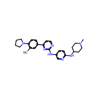 CN1CCC(Nc2ccc(Nc3nccc(-c4ccc(N5CCCC5)c(C#N)c4)n3)cn2)CC1